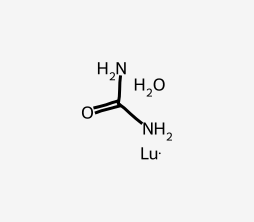 NC(N)=O.O.[Lu]